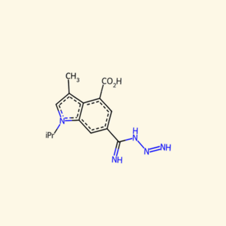 Cc1cn(C(C)C)c2cc(C(=N)NN=N)cc(C(=O)O)c12